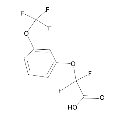 O=C(O)C(F)(F)Oc1cccc(OC(F)(F)F)c1